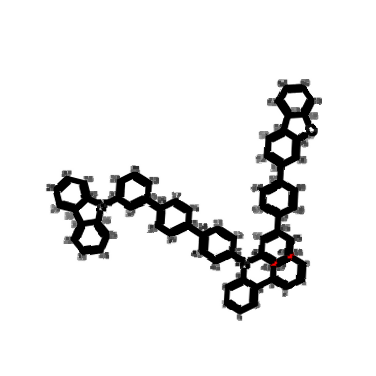 c1ccc(-c2ccccc2N(c2ccc(-c3ccc(-c4cccc(-n5c6ccccc6c6ccccc65)c4)cc3)cc2)c2cccc(-c3ccc(-c4ccc5c(c4)oc4ccccc45)cc3)c2)cc1